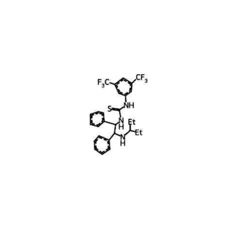 CCC(CC)NC(c1ccccc1)C(NC(=S)Nc1cc(C(F)(F)F)cc(C(F)(F)F)c1)c1ccccc1